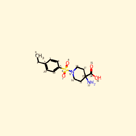 CCc1ccc(S(=O)(=O)N2CCC(N)(C(=O)O)CC2)cc1